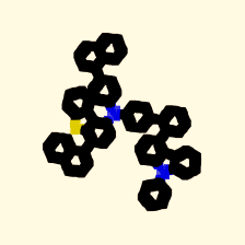 c1ccc(-n2c3ccccc3c3c(-c4ccccc4-c4ccc(N(c5ccc(-c6cccc7ccccc67)cc5)c5ccc(-c6cccc7ccccc67)c6sc7ccccc7c56)cc4)cccc32)cc1